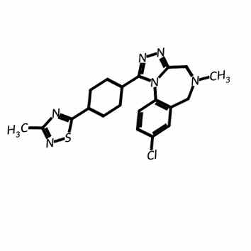 Cc1nsc(C2CCC(c3nnc4n3-c3ccc(Cl)cc3CN(C)C4)CC2)n1